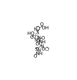 O=CNc1nc(C(=NOC2C=CCC2)C(=O)NC2C(=O)N3CC(CSc4cc(C(=O)O)ccn4)(C(=O)O)CS[C@H]23)cs1